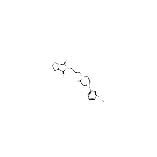 COc1cccc(N2CCN(CCCN3C(=O)C4CCCN4C3=O)C(C)C2)c1